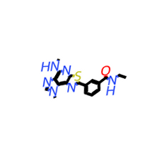 CCNC(=O)c1cccc(-c2nc3c(nc(NC)c4ncn(C)c43)s2)c1